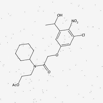 CC(=O)OCCN(C(=O)COc1cc(Cl)c([N+](=O)[O-])c(C(C)O)c1)C1CCCCC1